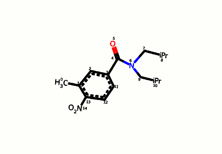 Cc1cc(C(=O)N(CC(C)C)CC(C)C)ccc1[N+](=O)[O-]